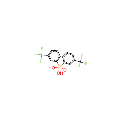 OP(O)(O)(c1cccc(C(F)(F)F)c1)c1cccc(C(F)(F)F)c1